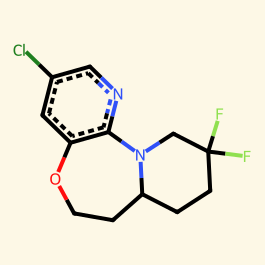 FC1(F)CCC2CCOc3cc(Cl)cnc3N2C1